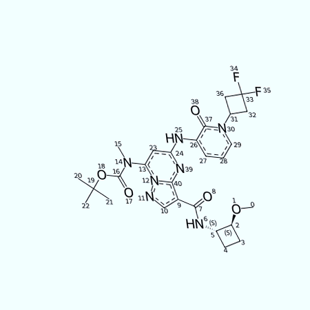 CO[C@H]1CC[C@@H]1NC(=O)c1cnn2c(N(C)C(=O)OC(C)(C)C)cc(Nc3cccn(C4CC(F)(F)C4)c3=O)nc12